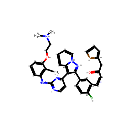 Cc1c(Nc2nccc(-c3c(-c4ccc(F)c(/C=C\C(=O)Cc5cccs5)c4)nn4ccccc34)n2)cccc1OCCN(C)C